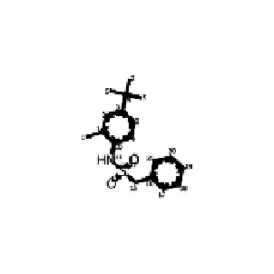 Cc1cc(C(C)(C)C)ccc1NS(=O)(=O)Cc1ccccc1